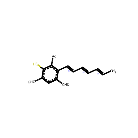 C/C=C/C=C/C=C/c1c(C=O)cc(C=O)c(S)c1C(C)=O